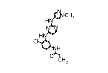 C=CC(=O)Nc1ccc(Cl)c(Nc2ccnc(Nc3cnn(C)c3)n2)c1